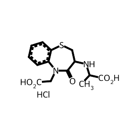 CC(NC1CSc2ccccc2N(CC(=O)O)C1=O)C(=O)O.Cl